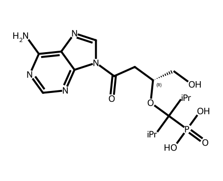 CC(C)C(O[C@@H](CO)CC(=O)n1cnc2c(N)ncnc21)(C(C)C)P(=O)(O)O